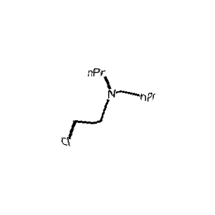 CCCN(CCC)CCCl